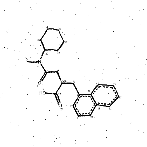 CN(C(=O)C[C@@H](Cc1cccc2ccccc12)C(=O)O)C1CCCCC1